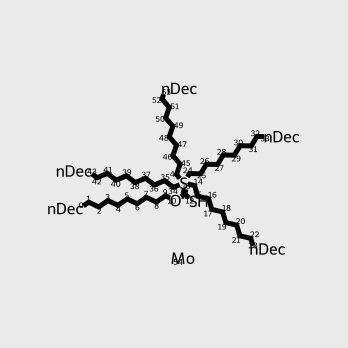 CCCCCCCCCCCCCCCCCCCOC(S)=S(CCCCCCCCCCCCCCCCCCC)(CCCCCCCCCCCCCCCCCCC)(CCCCCCCCCCCCCCCCCCC)CCCCCCCCCCCCCCCCCCC.[Mo]